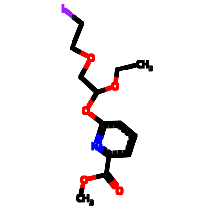 CCOC(COCCI)Oc1cccc(C(=O)OC)n1